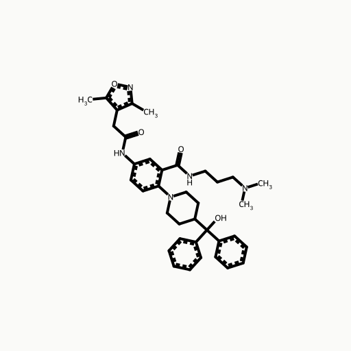 Cc1noc(C)c1CC(=O)Nc1ccc(N2CCC(C(O)(c3ccccc3)c3ccccc3)CC2)c(C(=O)NCCCN(C)C)c1